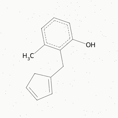 Cc1cccc(O)c1CC1=CC=CC1